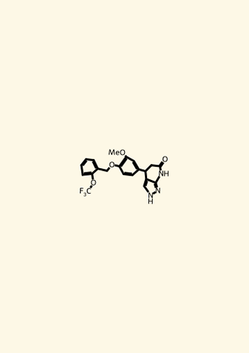 COc1cc(C2CC(=O)Nc3n[nH]cc32)ccc1OCc1ccccc1OC(F)(F)F